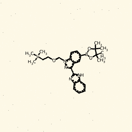 CC1(C)OB(c2ccc3c(c2)c(-c2nc4ccccc4[nH]2)nn3COCC[Si](C)(C)C)OC1(C)C